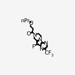 CCCOCCC(=O)N1CCn2c(c(F)c3nc(C(F)(F)F)cnc32)C1